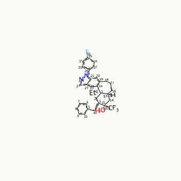 CC[C@@]12CC(=Cc3ccccc3)[C@](O)(C(F)(F)F)C[C@H]1CCCc1cc3c(cnn3-c3ccc(F)cc3)cc12